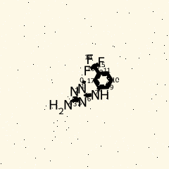 Cn1nc(N)nc1Nc1cccc(C(F)(F)F)c1